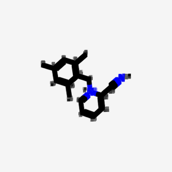 Cc1cc(C)c(C[n+]2ccccc2C#N)c(C)c1